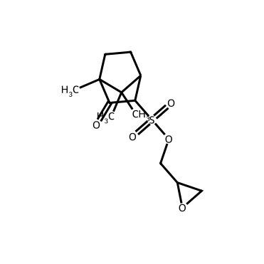 CC12CCC(C(S(=O)(=O)OCC3CO3)C1=O)C2(C)C